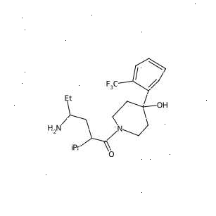 CCC(N)CC(C(=O)N1CCC(O)(c2ccccc2C(F)(F)F)CC1)C(C)C